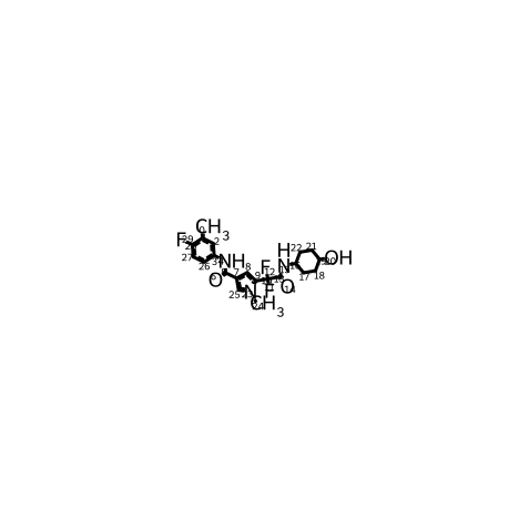 Cc1cc(NC(=O)c2cc(C(F)(F)C(=O)NC3CCC(O)CC3)n(C)c2)ccc1F